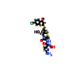 Nc1nc(C(=NO)C(=O)NC2C(=O)N3CC(C=CSc4cc(=O)c5ccc(Cl)cc5s4)(C(=O)O)CS[C@H]23)cs1